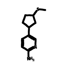 CSC1CCC(c2ccc(N)nc2)C1